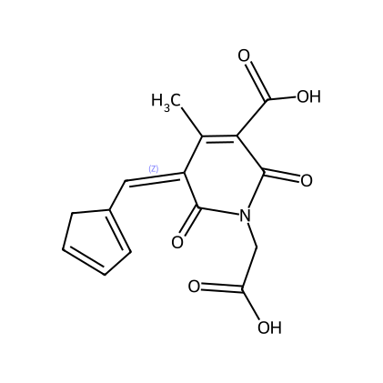 CC1=C(C(=O)O)C(=O)N(CC(=O)O)C(=O)/C1=C\C1=CC=CC1